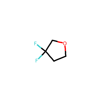 FC1(F)CCOC1